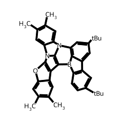 Cc1cc2oc3c(c4c5n(c6cc(C)c(C)cc6n35)-c3cc(C(C)(C)C)cc5c3B4c3ccc(C(C)(C)C)cc3-5)c2cc1C